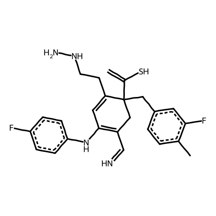 C=C(S)C1(Cc2ccc(C)c(F)c2)CC(C=N)=C(Nc2ccc(F)cc2)C=C1CCNN